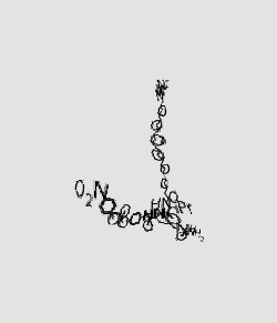 CC(C)[C@H](NC(=O)CCOCCOCCOCCOCCOCCOCCN=[N+]=[N-])C(=O)N[C@@H](CCCNC(N)=O)C(=O)Nc1ccc(OC(=O)Oc2ccc([N+](=O)[O-])cc2)cc1